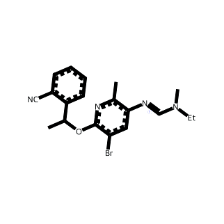 CCN(C)/C=N/c1cc(Br)c(OC(C)c2ccccc2C#N)nc1C